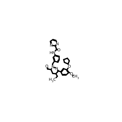 CCC1CC(C=O)N(Cc2cccc(NC(=O)c3ncccn3)c2)N=C1c1ccc(OC)c(OC2CCCC2)c1